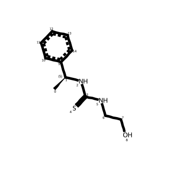 C[C@H](NC(=S)NCCO)c1ccccc1